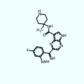 CNc1cc(F)ccc1C(=N)c1cnc2[nH]cc(C(=O)NC3(C)CCNCC3)c2n1